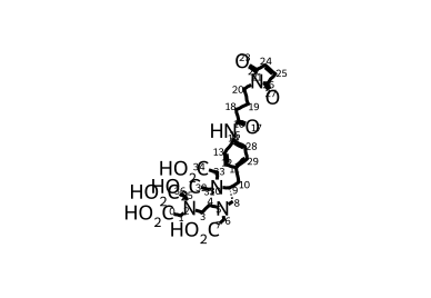 O=C(O)CN(CCN(CC(=O)O)C[C@@H](Cc1ccc(NC(=O)CCCN2C(=O)C=CC2=O)cc1)N(CC(=O)O)CC(=O)O)CC(=O)O